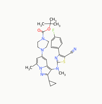 Cc1cc(N2CCN(C(=O)OC(C)(C)C)CC2)cc2c(N(C)c3nc(-c4ccc(F)cc4)c(C#N)s3)c(C3CC3)nn12